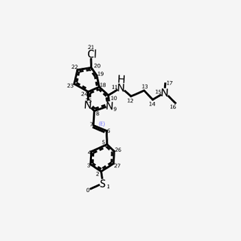 CSc1ccc(/C=C/c2nc(NCCCN(C)C)c3cc(Cl)ccc3n2)cc1